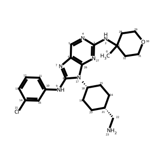 CC1(Nc2ncc3nc(Nc4cccc(Cl)c4)n([C@H]4CC[C@@H](CN)CC4)c3n2)CCOCC1